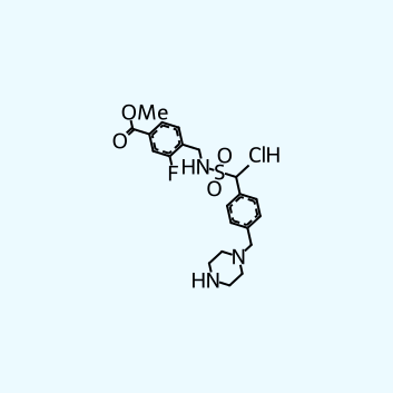 COC(=O)c1ccc(CNS(=O)(=O)C(C)c2ccc(CN3CCNCC3)cc2)c(F)c1.Cl